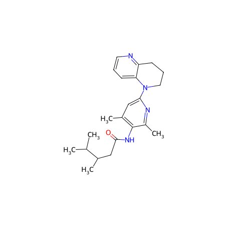 Cc1cc(N2CCCc3ncccc32)nc(C)c1NC(=O)CC(C)C(C)C